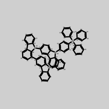 c1ccc(-n2c3ccccc3c3cc(-c4cccc5c6ccccc6n(-c6ccc7c(c6)c6ccccc6n7-c6ccc([Si](c7ccccc7)(c7ccccc7)c7ccccc7)cc6)c45)ccc32)cc1